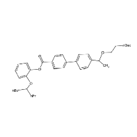 CCCCCCCCCCCCOC(C)c1ccc(-c2ccc(C(=O)Oc3ccccc3OC(CCC)CCCC)cc2)cc1